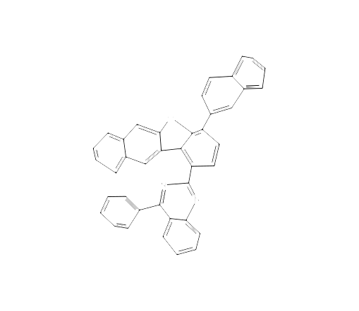 c1ccc(-c2nc(-c3ccc(-c4ccc5ccccc5c4)c4oc5cc6ccccc6cc5c34)nc3ccccc23)cc1